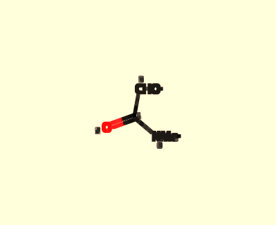 C[N]C(=O)[C]=O